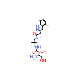 CC(C)(CNC(=O)CC(N)Cc1cc(F)ccc1F)CNC(=O)[C@@H](O)[C@H](N)CO